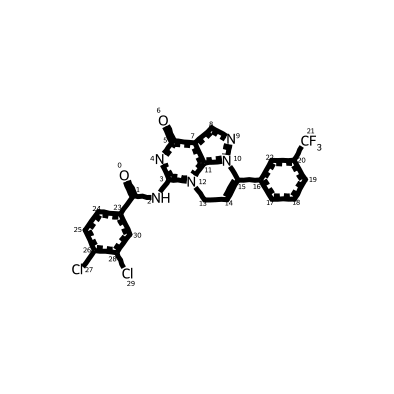 O=C(Nc1nc(=O)c2cnn3c2n1CC=C3c1cccc(C(F)(F)F)c1)c1ccc(Cl)c(Cl)c1